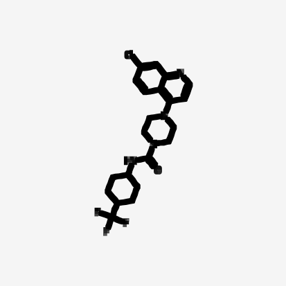 O=C(NC1CCC(C(F)(F)F)CC1)N1CCN(c2ccnc3cc(Cl)ccc23)CC1